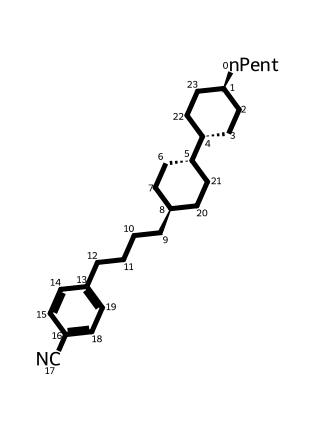 CCCCC[C@H]1CC[C@H]([C@H]2CC[C@H](CCCCc3ccc(C#N)cc3)CC2)CC1